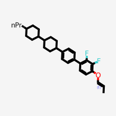 C/C=C/Oc1ccc(-c2ccc(C3CCC(C4CCC(CCC)CC4)CC3)cc2)c(F)c1F